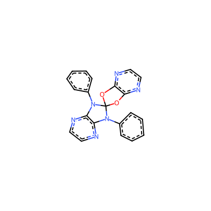 c1ccc(N2c3nccnc3N(c3ccccc3)C23Oc2nccnc2O3)cc1